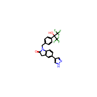 O=C1Cc2cc(-c3cn[nH]c3)ccc2N1Cc1ccc(C(O)(C(F)(F)F)C(F)(F)F)cc1